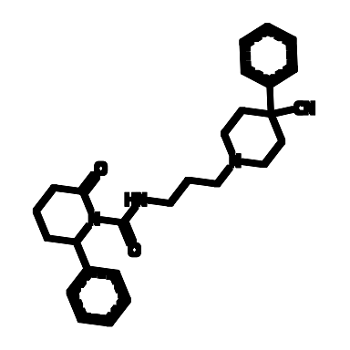 N#CC1(c2ccccc2)CCN(CCCNC(=O)N2C(=O)CCCC2c2ccccc2)CC1